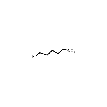 CC(C)CCCCC[N+](=O)[O-]